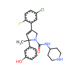 CC1(c2cccc(O)c2)C=C(c2cc(Cl)ccc2F)CN1C(=O)NC1CCNCC1